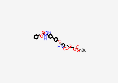 CCCCOC(=O)OCCOC(=O)C[C@@H]1C[C@@H](COc2ccc(-c3ccc(C(=N)NC(=O)OCc4ccccc4)cc3)cc2)NC1=O